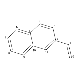 [CH]=Cc1ccc2ccccc2c1